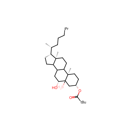 B[C@]12C[C@@H](OC(=O)C(C)(C)C)CC[C@]1(C)C1CC[C@@]3(C)C(CC[C@@H]3[C@H](C)CCCC(C)C)C1C[C@H]2O